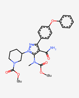 CN(C(=O)OC(C)(C)C)c1c(C(N)=O)c(-c2ccc(Oc3ccccc3)cc2)nn1C1CCCN(C(=O)OC(C)(C)C)C1